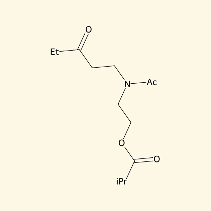 CCC(=O)CCN(CCOC(=O)C(C)C)C(C)=O